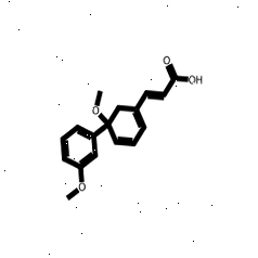 COc1cccc(C2(OC)C=CC=C(C=CC(=O)O)C2)c1